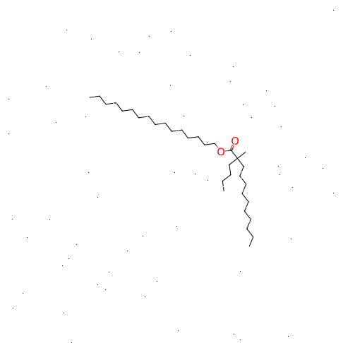 CCCCCCCCCCCCCCCCOC(=O)C(C)(CCCC)CCCCCCCCCC